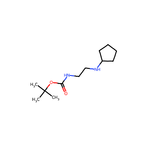 CC(C)(C)OC(=O)NCCNC1CCCC1